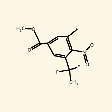 COC(=O)c1cc(F)c([N+](=O)[O-])c(C(C)(F)F)c1